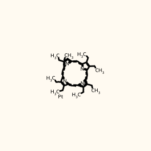 CCC1=C(CC)c2cc3cc(CC)c(cc4nc(cc5[nH]c(cc1n2)c(CC)c5CC)C(CC)=C4CC)n3CC.[Pt]